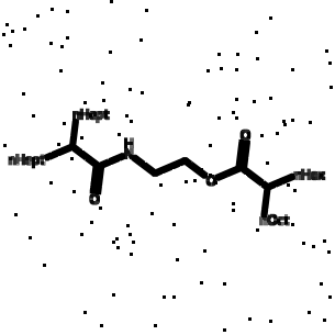 CCCCCCCCC(CCCCCC)C(=O)OCCNC(=O)C(CCCCCCC)CCCCCCC